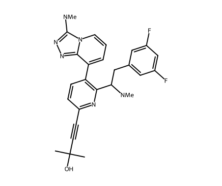 CNc1nnc2c(-c3ccc(C#CC(C)(C)O)nc3C(Cc3cc(F)cc(F)c3)NC)cccn12